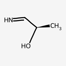 C[C@@H](O)C=N